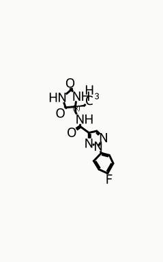 CC[C@]1(CNC(=O)c2cnn(-c3ccc(F)cc3)n2)NC(=O)NC1=O